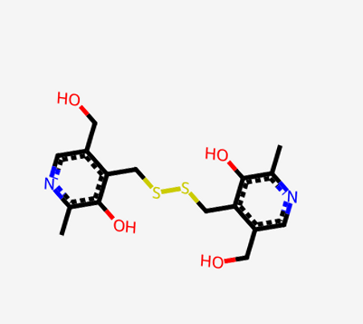 Cc1ncc(CO)c(CSSCc2c(CO)cnc(C)c2O)c1O